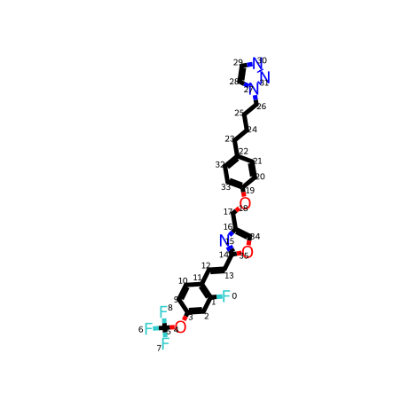 Fc1cc(OC(F)(F)F)ccc1/C=C/c1nc(COc2ccc(CCCCn3ccnn3)cc2)co1